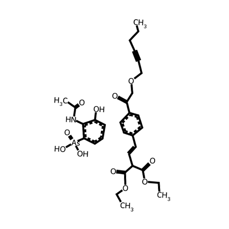 CC(=O)Nc1c(O)cccc1[As](=O)(O)O.CCCC#CCOCC(=O)c1ccc(C=CC(C(=O)OCC)C(=O)OCC)cc1